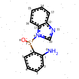 Nc1ccccc1[S+]([O-])n1cnc2ccccc21